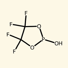 OP1OC(F)(F)C(F)(F)O1